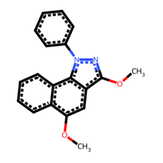 COc1cc2c(OC)nn(-c3ccccc3)c2c2ccccc12